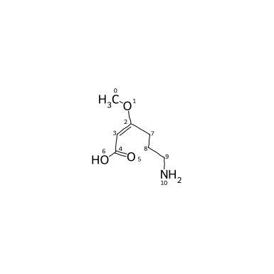 COC(=CC(=O)O)CCCN